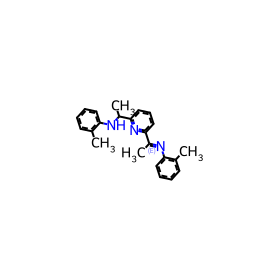 C/C(=N\c1ccccc1C)c1cccc(C(C)Nc2ccccc2C)n1